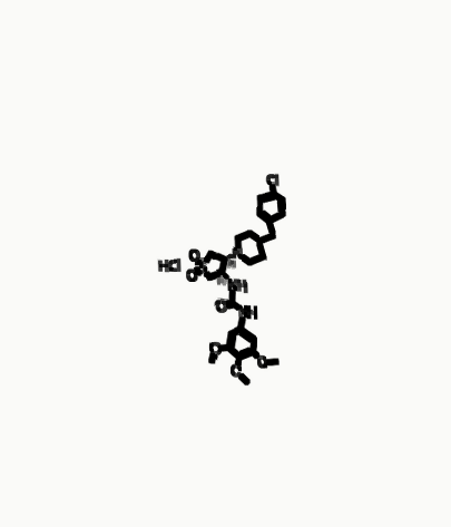 COc1cc(NC(=O)N[C@H]2CS(=O)(=O)C[C@@H]2N2CCC(Cc3ccc(Cl)cc3)CC2)cc(OC)c1OC.Cl